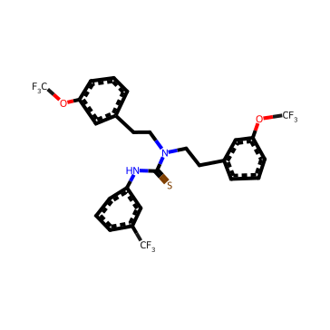 FC(F)(F)Oc1cccc(CCN(CCc2cccc(OC(F)(F)F)c2)C(=S)Nc2cccc(C(F)(F)F)c2)c1